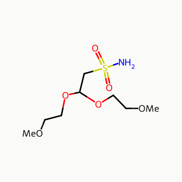 COCCOC(CS(N)(=O)=O)OCCOC